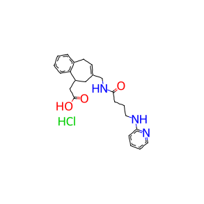 Cl.O=C(O)CC1CC(CNC(=O)CCCNc2ccccn2)=CCc2ccccc21